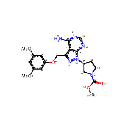 COc1cc(OC)cc(OCc2nn([C@H]3CCN(C(=O)OC(C)(C)C)C3)c3ncnc(N)c23)c1